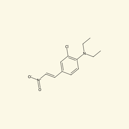 CCN(CC)c1ccc(C=C[N+](=O)[O-])cc1Cl